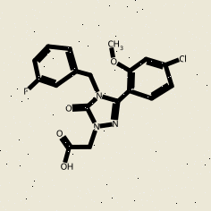 COc1cc(Cl)ccc1-c1nn(CC(=O)O)c(=O)n1Cc1cccc(F)c1